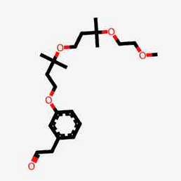 COCCOC(C)(C)CCOC(C)(C)CCOc1cccc(CC=O)c1